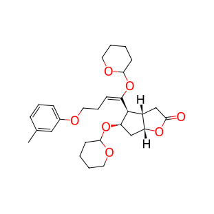 Cc1cccc(OCC/C=C(/OC2CCCCO2)[C@H]2[C@@H]3CC(=O)O[C@@H]3C[C@H]2OC2CCCCO2)c1